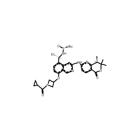 CC[C@H](N[S+]([O-])C(C)(C)C)c1ccc(OC2CN(C(=O)C3CC3)C2)c2cnc(Nc3ccc4c(n3)[C@@H](C)C(C)(C)OC4=O)cc12